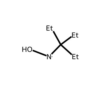 CCC(CC)(CC)[N]O